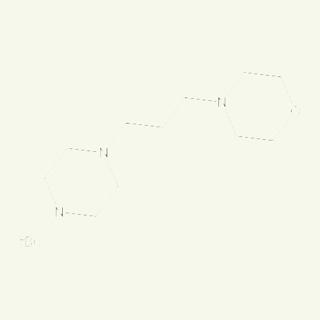 CC(C)(C)N1CCN(CCCN2CCOCC2)CC1